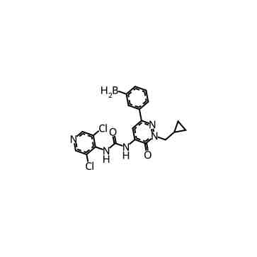 Bc1cccc(-c2cc(NC(=O)Nc3c(Cl)cncc3Cl)c(=O)n(CC3CC3)n2)c1